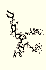 CCc1cc(OCc2ccccc2)c(F)cc1-c1ccc2c(-c3nc4c(n3COCC[Si](C)(C)C)CN(C(=O)N3CCC3)C4)nn(COCC[Si](C)(C)C)c2c1